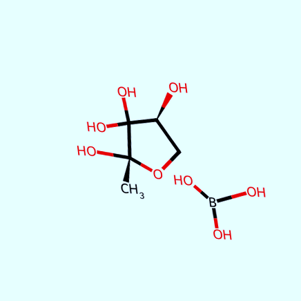 C[C@]1(O)OC[C@H](O)C1(O)O.OB(O)O